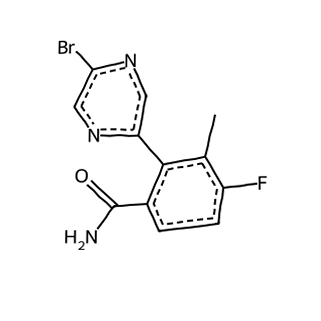 Cc1c(F)ccc(C(N)=O)c1-c1cnc(Br)cn1